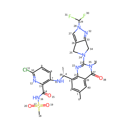 Cc1cc([C@@H](C)Nc2ccc(Cl)nc2C(=O)NS(C)(=O)=O)c2nc(N3Cc4cn(C(F)F)nc4C3)n(C)c(=O)c2c1